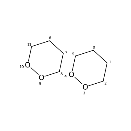 C1CCOOC1.C1CCOOC1